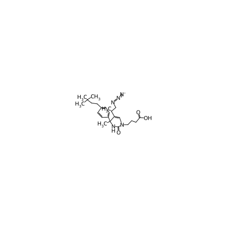 CC(CN=[N+]=[N-])C1=CN(CCCC(=O)O)C(=O)NC1(C)c1ccc(CCC(C)(C)C)cc1